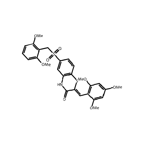 COc1cc(OC)c(C=C2Sc3ccc(S(=O)(=O)Cc4c(OC)cccc4OC)cc3NC2=O)c(OC)c1